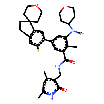 CCN(c1cc(-c2cc3c(cc2F)CCC32CCOCC2)cc(C(=O)NCc2c(C)cc(C)[nH]c2=O)c1C)C1CCOCC1